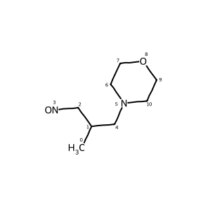 CC(CN=O)CN1CCOCC1